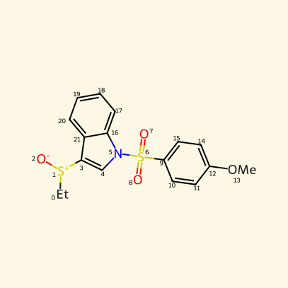 [CH2]C[S+]([O-])c1cn(S(=O)(=O)c2ccc(OC)cc2)c2ccccc12